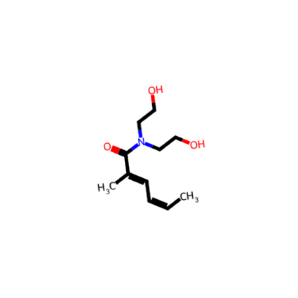 C/C=C\C=C(/C)C(=O)N(CCO)CCO